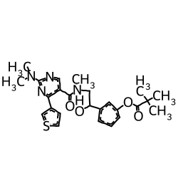 CN(CC(O)c1cccc(OC(=O)C(C)(C)C)c1)C(=O)c1cnc(N(C)C)nc1-c1ccsc1